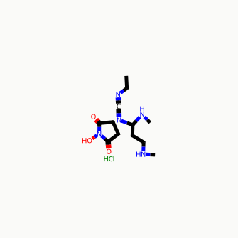 CCN=C=NC(CCNC)NC.Cl.O=C1CCC(=O)N1O